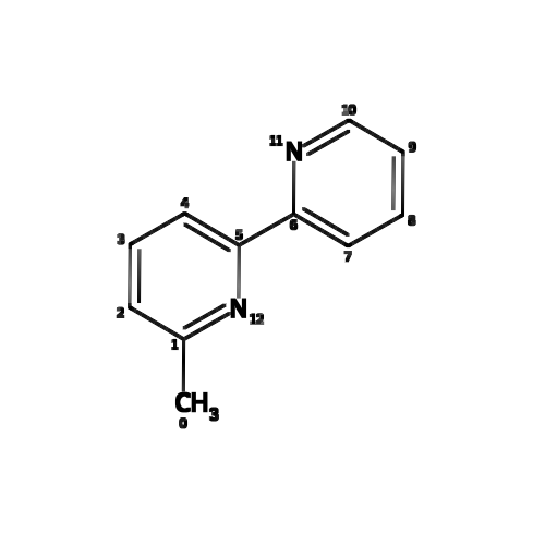 Cc1cccc(-c2ccccn2)n1